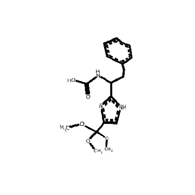 COC(OC)(OC)c1c[nH]c(C(Cc2ccccc2)NC(=O)O)n1